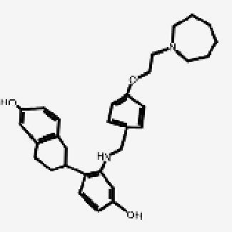 Oc1ccc2c(c1)CCC(c1ccc(O)cc1NCc1ccc(OCCN3CCCCCC3)cc1)C2